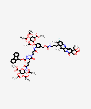 CC[C@@]1(O)C(=O)OCc2c1cc1n(c2=O)Cc2c-1nc1cc(F)c(C)c(CCCNC(=O)OCc3ccc(O[C@@H]4O[C@H](C(=O)OC)[C@@H](OC(C)=O)[C@H](OC(C)=O)[C@H]4OC(C)=O)c(NC(=O)CCNC(=O)[C@H](CCCC(=O)N[C@H]4O[C@H](C(=O)OC)[C@@H](OC(C)=O)[C@H](OC(C)=O)[C@H]4OC(C)=O)NC(=O)OCC4c5ccccc5-c5ccccc54)c3)c1c2C